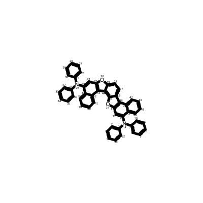 c1ccc(N(c2ccccc2)c2cc3oc4c(ccc5oc6cc(N(c7ccccc7)c7ccccc7)c7ccccc7c6c54)c3c3ccccc23)cc1